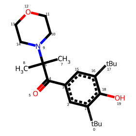 CC(C)(C)c1cc(C(=O)C(C)(C)N2CCOCC2)cc(C(C)(C)C)c1O